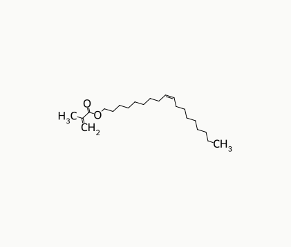 C=C(C)C(=O)OCCCCCCCC/C=C\CCCCCCCC